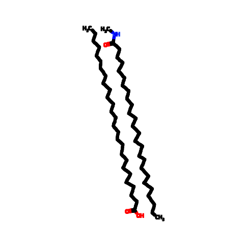 CCCCCCCCCCCCCCCCCCCCCCCCCC(=O)NC.CCCCCCCCCCCCCCCCCCCCCCCCCCC(=O)O